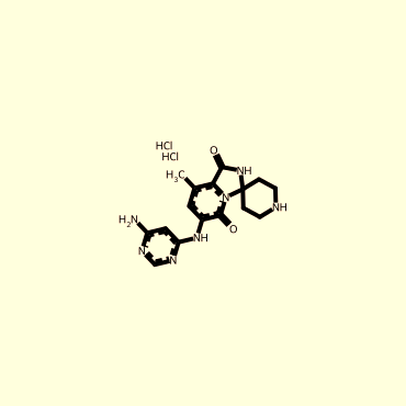 Cc1cc(Nc2cc(N)ncn2)c(=O)n2c1C(=O)NC21CCNCC1.Cl.Cl